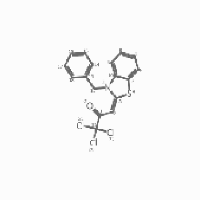 O=C(C=C1Sc2ccccc2N1Cc1ccccc1)C(Cl)(Cl)Cl